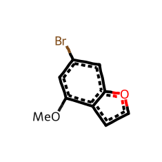 COc1cc(Br)cc2occc12